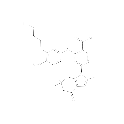 COc1ccc(Nc2cc(-n3c(C)cc4c3CC(C)(C)CC4=O)ccc2C(N)=O)cc1OCCCO